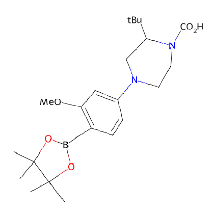 COc1cc(N2CCN(C(=O)O)C(C(C)(C)C)C2)ccc1B1OC(C)(C)C(C)(C)O1